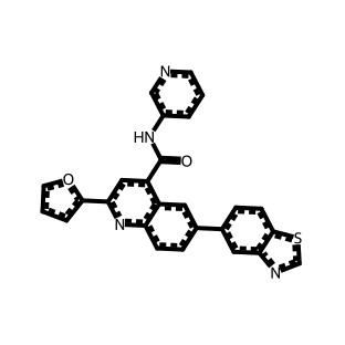 O=C(Nc1cccnc1)c1cc(-c2ccco2)nc2ccc(-c3ccc4scnc4c3)cc12